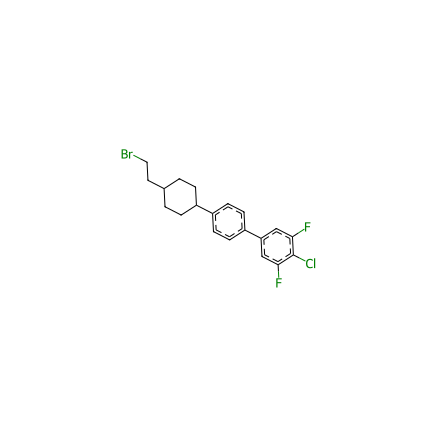 Fc1cc(-c2ccc(C3CCC(CCBr)CC3)cc2)cc(F)c1Cl